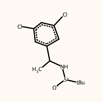 CC(N[S+]([O-])C(C)(C)C)c1cc(Cl)cc(Cl)c1